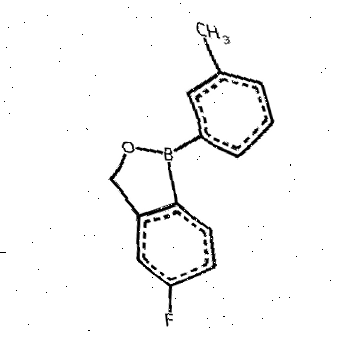 Cc1cccc(B2OCc3cc(F)ccc32)c1